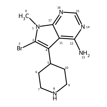 Cn1c(Br)c(C2CCNCC2)c2c(N)ncnc21